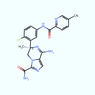 C[C@@]1(c2cc(NC(=O)c3ccc(C#N)cn3)ccc2F)Cn2c(cnc2C(N)=O)C(N)=N1